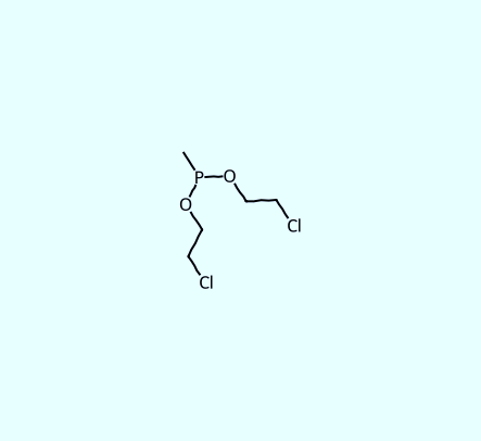 CP(OCCCl)OCCCl